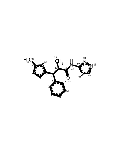 Cc1ccc(C(c2ccccc2)C(C)C(=O)Nc2nncs2)s1